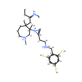 CC/C(CC1(C)CCCN(C)CC1(C)N1C=C1CCNCc1c(F)cc(F)cc1F)=N/C